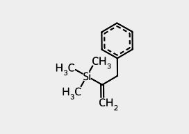 C=C(Cc1ccccc1)[Si](C)(C)C